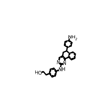 Nc1ccc(C2Cc3cnc(Nc4ccc(CCO)cc4)nc3-c3ccccc32)cc1